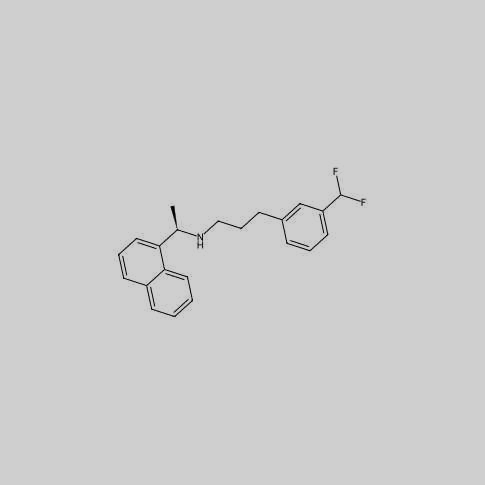 C[C@@H](NCCCc1cccc(C(F)F)c1)c1cccc2ccccc12